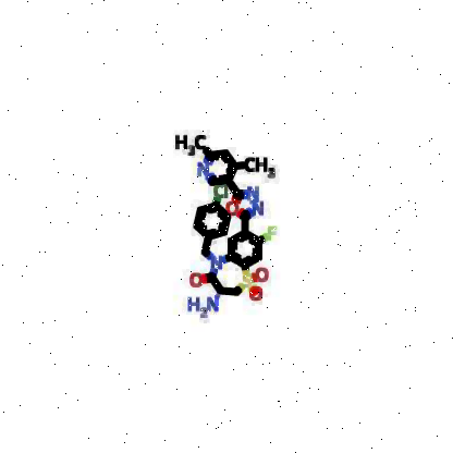 Cc1cc(C)c(-c2nnc(-c3cc4c(cc3F)S(=O)(=O)C[C@H](N)C(=O)N4Cc3ccc(Cl)cc3)o2)cn1